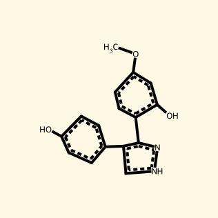 COc1ccc(-c2n[nH]cc2-c2ccc(O)cc2)c(O)c1